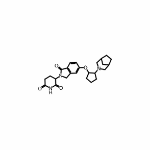 O=C1CCC(N2Cc3cc(OC4CCCC4N4CC5CCC(C5)C4)ccc3C2=O)C(=O)N1